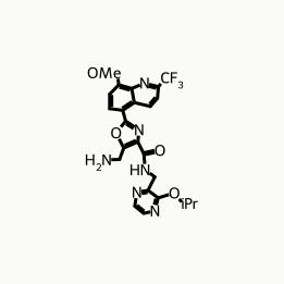 COc1ccc(-c2nc(C(=O)NCc3nccnc3OC(C)C)c(CN)o2)c2ccc(C(F)(F)F)nc12